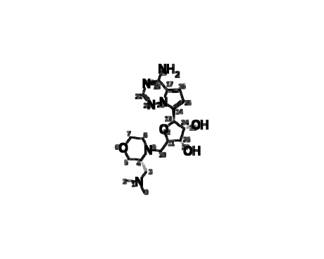 CN(C)C[C@@H]1COCCN1CC1O[C@@H](c2ccc3c(N)ncnn23)[C@H](O)[C@@H]1O